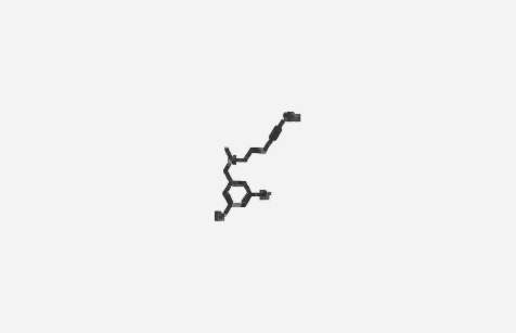 CN(C/C=C/C#CC(C)(C)C)Cc1cc(Br)cc(Br)c1